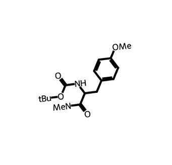 CNC(=O)C(Cc1ccc(OC)cc1)NC(=O)OC(C)(C)C